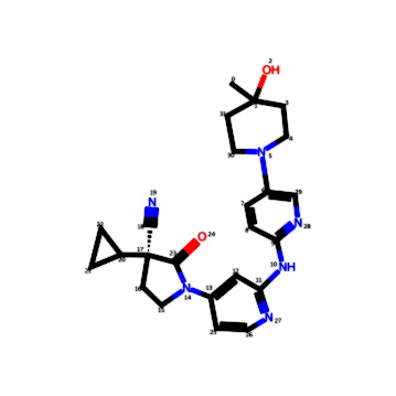 CC1(O)CCN(c2ccc(Nc3cc(N4CC[C@@](C#N)(C5CC5)C4=O)ccn3)nc2)CC1